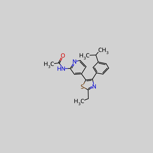 CCc1nc(-c2cccc(C(C)C)c2)c(-c2ccnc(NC(C)=O)c2)s1